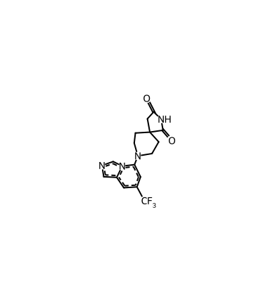 O=C1CC2(CCN(c3cc(C(F)(F)F)cc4cncn34)CC2)C(=O)N1